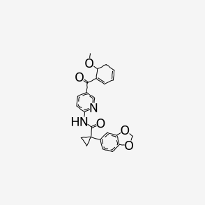 COC1CC=CC=C1C(=O)c1ccc(NC(=O)C2(c3ccc4c(c3)OCO4)CC2)nc1